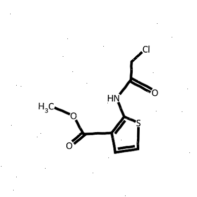 COC(=O)c1ccsc1NC(=O)CCl